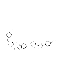 Cn1c(C(=O)N2CCN(Cc3ccc(Br)cc3)CC2)cc2ccc(Oc3cnc(-c4nc(-c5ccc(C(F)(F)F)cc5)no4)cn3)cc21